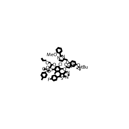 C=CCOC[C@H](COS(=O)(=O)c1ccc(C)cc1)Oc1c(Cl)c(C)c(-c2c(-c3ccc(F)cc3)sc3ncnc(O[C@H](Cc4cc(O[Si](C)(C)C(C)(C)C)ccc4OCc4ccnc(-c5ccccc5OC)n4)C(=O)O)c23)c(C)c1Cl